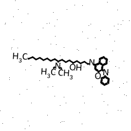 CCCCCCCCCC(CCCC(O)CCCCN=c1cc2oc3ccccc3nc-2c2ccccc12)N(CC)CC